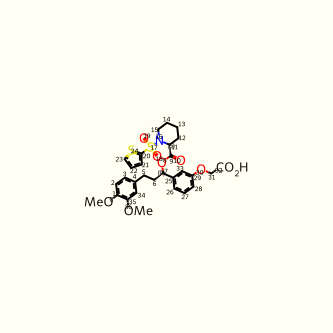 COc1ccc(CC[C@@H](OC(=O)[C@@H]2CCCCN2S(=O)(=O)c2cccs2)c2cccc(OCC(=O)O)c2)cc1OC